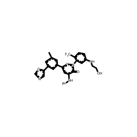 Cc1cc(-c2cc(NC(C)C)c(=O)n(-c3cc(NCCO)ccc3C(F)(F)F)n2)cc(-c2cnco2)c1